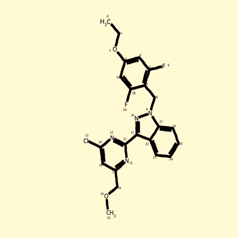 CCOc1cc(F)c(Cn2nc(-c3nc(Cl)cc(COC)n3)c3ccccc32)c(F)c1